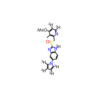 [2H]c1nc(C[S+]([O-])c2nc3cc(-n4c([2H])c([2H])c([2H])c4[2H])ccc3n2[2H])c(C)c(OC)c1[2H]